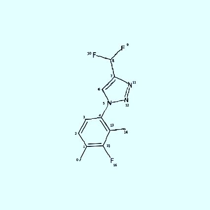 Cc1ccc(-n2cc(C(F)F)nn2)c(C)c1F